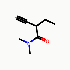 [C]#CC(CC)C(=O)N(C)C